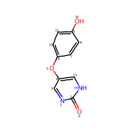 O=c1ncc(Oc2ccc(O)cc2)c[nH]1